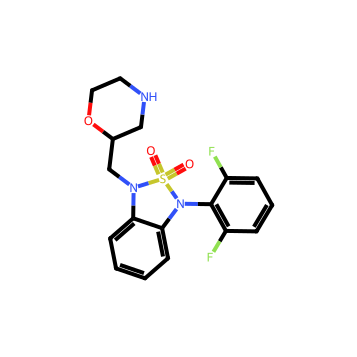 O=S1(=O)N(CC2CNCCO2)c2ccccc2N1c1c(F)cccc1F